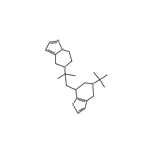 CC(C)(C)N1Cc2ccsc2C(CC(C)(C)N2CCn3nccc3C2)C1